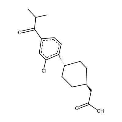 CC(C)C(=O)c1ccc([C@H]2CC[C@H](CC(=O)O)CC2)c(Cl)c1